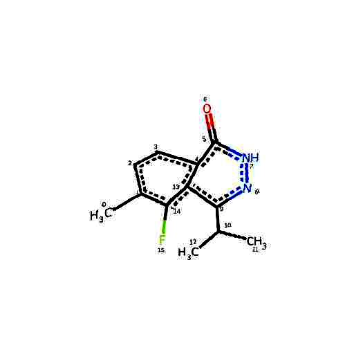 Cc1ccc2c(=O)[nH]nc(C(C)C)c2c1F